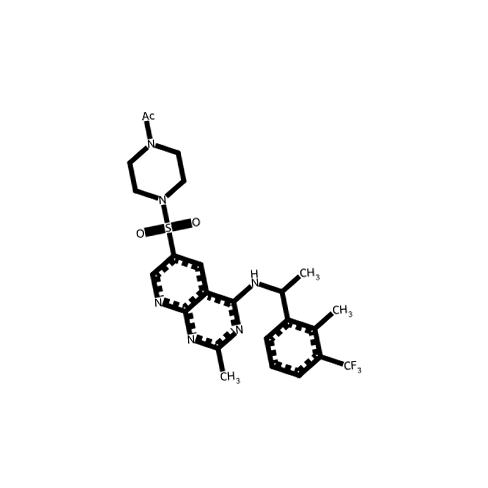 CC(=O)N1CCN(S(=O)(=O)c2cnc3nc(C)nc(NC(C)c4cccc(C(F)(F)F)c4C)c3c2)CC1